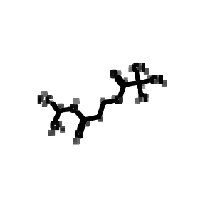 CCC(C)(C)C(=O)OCCC(=O)OC(C(F)(F)F)C(F)(F)F